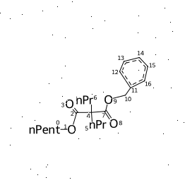 CCCCCOC(=O)C(CCC)(CCC)C(=O)OCc1ccccc1